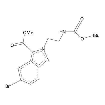 COC(=O)c1c2cc(Br)ccc2nn1CCNC(=O)OC(C)(C)C